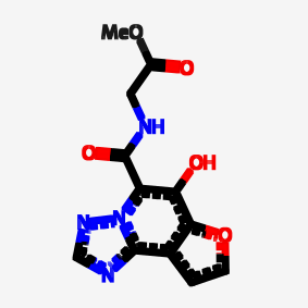 COC(=O)CNC(=O)c1c(O)c2occc2c2ncnn12